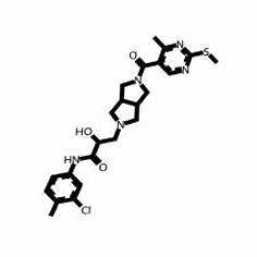 CSc1ncc(C(=O)N2CC3CN(CC(O)C(=O)Nc4ccc(C)c(Cl)c4)CC3C2)c(C)n1